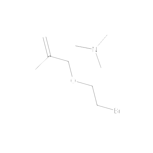 C=C(C)COCCBr.CN(C)C